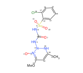 COC1=[N+]([O-])N(NC(=O)NS(=O)(=O)c2ccccc2Cl)NC(C)=C1